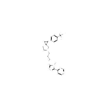 Cn1c(SCCCN2CC[C@]3(C[C@H]3c3ccc(C(F)(F)F)cc3)C2)nnc1-c1ccncn1